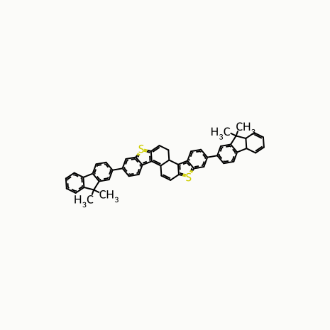 CC1(C)c2ccccc2-c2ccc(-c3ccc4c5c(sc4c3)=CCC3C=5C=Cc4sc5cc(-c6ccc7c(c6)C(C)(C)C6C=CC=CC76)ccc5c43)cc21